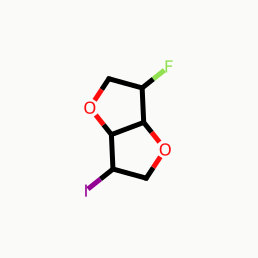 FC1COC2C(I)COC12